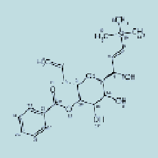 C=CC[C@@H]1O[C@@H](C(O)/C=C/[Si](C)(C)C)C(O)C(O)C1OC(=O)c1ccccc1